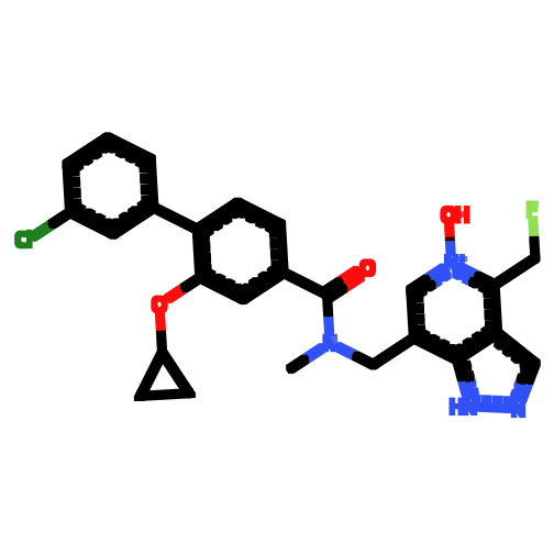 CN(Cc1c[n+](O)c(CF)c2cn[nH]c12)C(=O)c1ccc(-c2cccc(Cl)c2)c(OC2CC2)c1